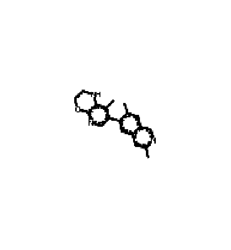 Cc1cc2cc(-c3cnc4c(c3C)NCCO4)c(C)cc2cn1